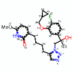 CC[C@@](O)(Cn1nncc1CCCCc1ccc(OC)[nH]c1=O)c1ccc(F)c(OCC2CC2)c1